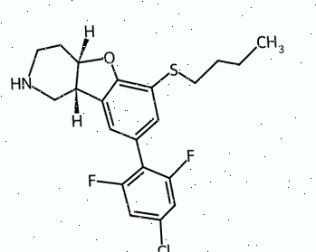 CCCCSc1cc(-c2c(F)cc(Cl)cc2F)cc2c1O[C@H]1CCNC[C@@H]21